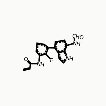 C=CC(=O)Nc1cccc(-c2ccc(NC=O)c3[nH]ccc23)c1F